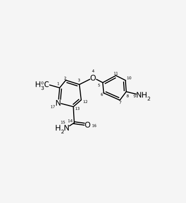 Cc1cc(Oc2ccc(N)cc2)cc(C(N)=O)n1